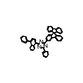 c1ccc(-c2nc(-c3ccc4c(c3)-c3ccccc3C43c4ccccc4-c4ccccc43)nc(-c3ccc(-c4ccccc4)c4ccccc34)n2)cc1